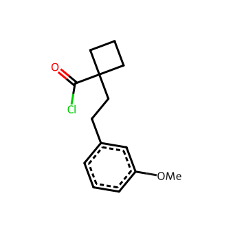 COc1cccc(CCC2(C(=O)Cl)CCC2)c1